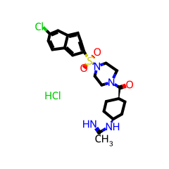 CC(=N)N[C@H]1CC[C@@H](C(=O)N2CCN(S(=O)(=O)c3ccc4cc(Cl)ccc4c3)CC2)CC1.Cl